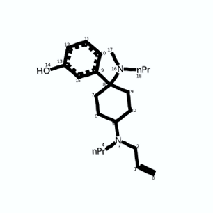 C=CCN(CCC)C1CCC(c2cccc(O)c2)(N(C)CCC)CC1